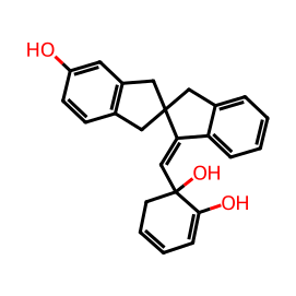 OC1=CC=CCC1(O)C=C1c2ccccc2CC12Cc1ccc(O)cc1C2